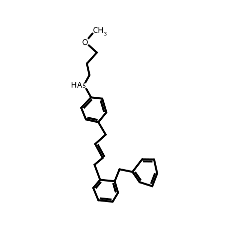 COCCC[AsH]c1ccc(CC=CCc2ccccc2Cc2ccccc2)cc1